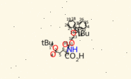 CC(C)(C)COC(=O)CCC(NC(=O)OCCO[Si](c1ccccc1)(c1ccccc1)C(C)(C)C)C(=O)O